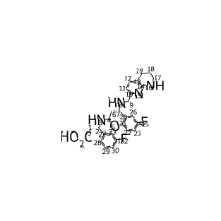 O=C(O)C[C@H](NC(=O)C[C@H](NCc1ccc2c(n1)NCCC2)c1cccc(F)c1)c1cccc(F)c1